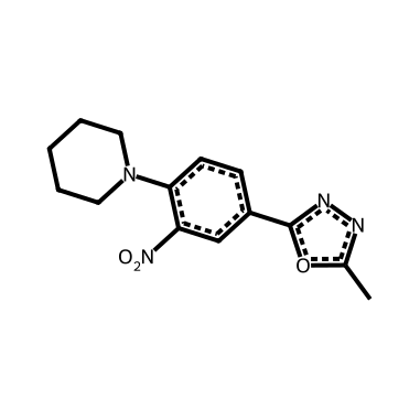 Cc1nnc(-c2ccc(N3CCCCC3)c([N+](=O)[O-])c2)o1